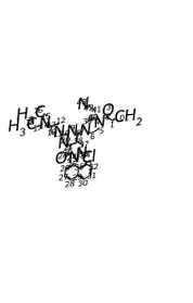 C=CC(=O)N1CCN(c2nc(N3CC(N(CC)CC)C3)nc3c(=O)n(-c4cccc5cccc(Cl)c45)ncc23)C[C@@H]1CC#N